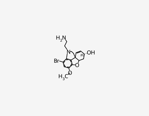 COc1cc(Br)c2c3c1OC1C[C@@H](O)C=CC31CCN(CCN)C2